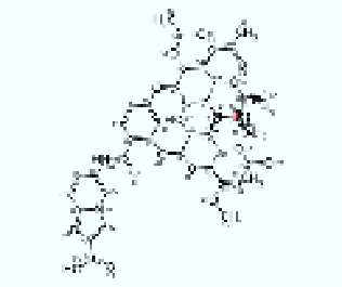 COC(=O)[C@H]1O[C@@H](Oc2ccc(C(=O)Nc3ccc4nc(C(=O)O)cn4c3)c(O[C@@H]3O[C@H](C(=O)OC)[C@@H](OC(C)=O)[C@H](OC(C)=O)[C@H]3O)c2)[C@H](OC(C)=O)[C@@H](OC(C)=O)[C@@H]1OC(C)=O